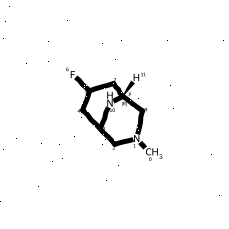 CN1CC2CC(F)C[C@H](C1)N2